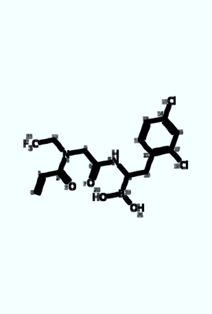 C=CC(=O)N(CC(=O)NC(Cc1ccc(Cl)cc1Cl)B(O)O)CC(F)(F)F